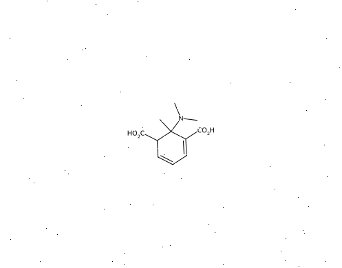 CN(C)C1(C)C(C(=O)O)=CC=CC1C(=O)O